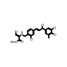 CC/C=C(\NCc1ccc(/C=C/C(Cl)c2cc(C)c(Cl)c(Cl)c2)cc1Cl)C(=O)OC